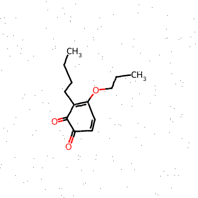 CCCCC1=C(OCCC)C=CC(=O)C1=O